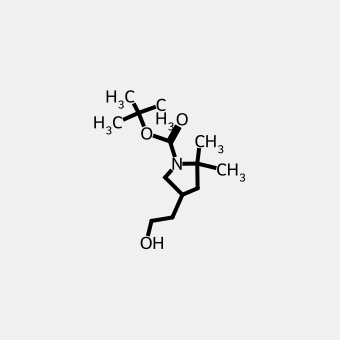 CC(C)(C)OC(=O)N1CC(CCO)CC1(C)C